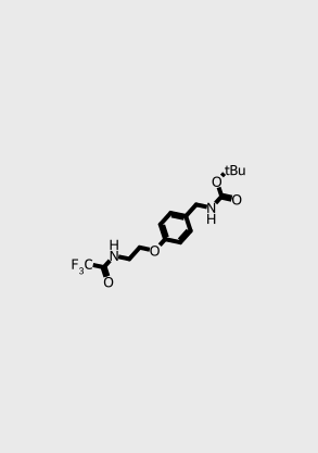 CC(C)(C)OC(=O)NCc1ccc(OCCNC(=O)C(F)(F)F)cc1